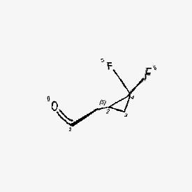 O=C[C@@H]1CC1(F)F